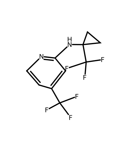 FC(F)(F)c1ccnc(NC2(C(F)(F)F)CC2)c1